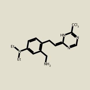 CCN(CC)c1ccc(CC=C2N=CN=C(C(Cl)(Cl)Cl)N2)c(CN)c1